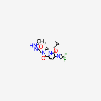 CC1NN=C(CN(C(=O)c2ccc(N3CC(F)(F)C3)c(OCC3CC3)n2)C2CC2)O1